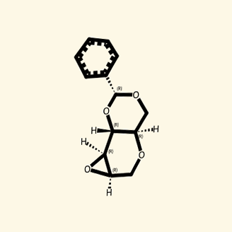 c1ccc([C@@H]2OC[C@H]3OC[C@H]4O[C@H]4[C@@H]3O2)cc1